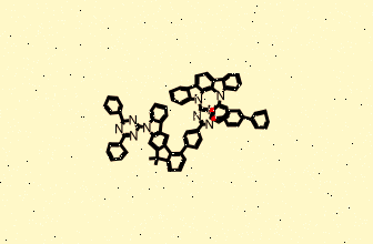 CC1(C)c2cc3c(cc2-c2c(-c4ccc(-c5nc(-c6ccc(-c7ccccc7)cc6)nc(-n6c7ccccc7c7ccc8c9ccccc9n(-c9ccccc9)c8c76)n5)cc4)cccc21)c1ccccc1n3-c1nc(-c2ccccc2)nc(-c2ccccc2)n1